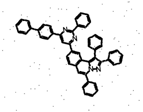 c1ccc(-c2ccc(-c3cc(-c4ccc5cc(-c6ccccc6)n6nc(-c7ccccc7)c(-c7ccccc7)c6c5c4)nc(-c4ccccc4)n3)cc2)cc1